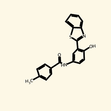 Cc1ccc(C(=O)Nc2ccc(O)c(-c3nc4ccccc4s3)c2)cc1